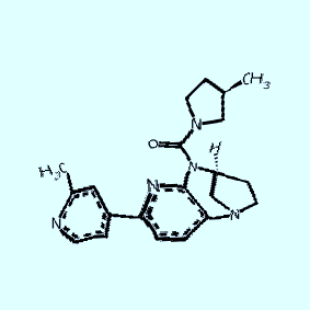 Cc1cc(-c2ccc3c(n2)N(C(=O)N2CC[C@@H](C)C2)[C@H]2CCN3C2)ccn1